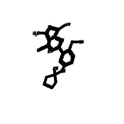 CCCc1nc(C)c2c(=O)[nH]c(-c3cc(NC4(C#N)CCCC4)ccc3OCC)nn12